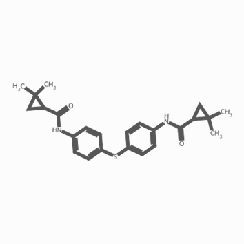 CC1(C)CC1C(=O)Nc1ccc(Sc2ccc(NC(=O)C3CC3(C)C)cc2)cc1